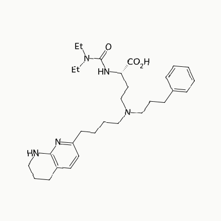 CCN(CC)C(=O)N[C@@H](CCN(CCCCc1ccc2c(n1)NCCC2)CCCc1ccccc1)C(=O)O